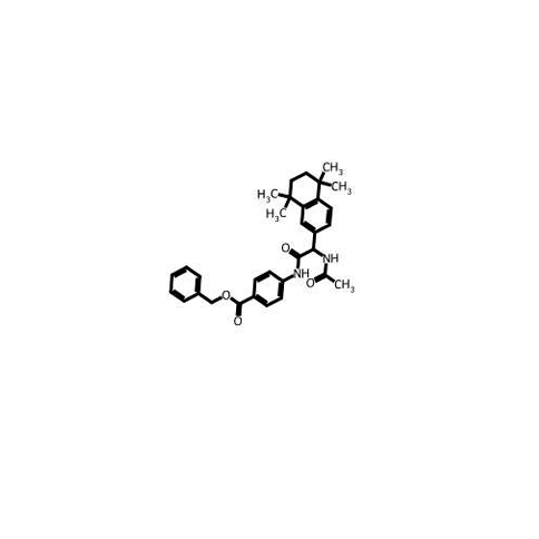 CC(=O)NC(C(=O)Nc1ccc(C(=O)OCc2ccccc2)cc1)c1ccc2c(c1)C(C)(C)CCC2(C)C